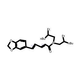 CCCCC(CC)CN(CC(CC)CCCC)C(=O)/C=C/C=C/c1ccc2c(c1)OCO2